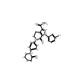 NC(=O)c1nn(-c2cccc(F)c2)c2c1CCN(c1ccc(N3CCCCC3=O)cc1)C2=O